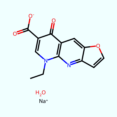 CCn1cc(C(=O)[O-])c(=O)c2cc3occc3nc21.O.[Na+]